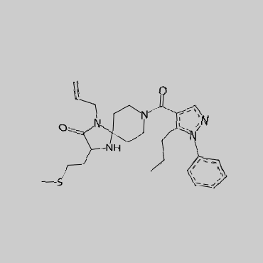 C=CCN1C(=O)C(CCSC)NC12CCN(C(=O)c1cnn(-c3ccccc3)c1CCC)CC2